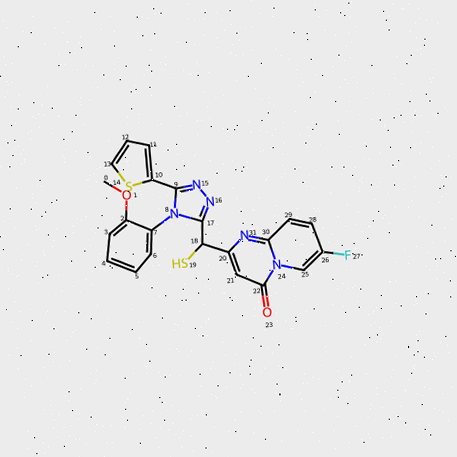 COc1ccccc1-n1c(-c2cccs2)nnc1C(S)c1cc(=O)n2cc(F)ccc2n1